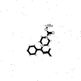 CC(C)=CC(C1CCCCC1)N1CCN(C(=O)OC(C)(C)C)CC1